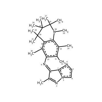 CC1=Nn2ccnc2/C1=N\c1c(C)c(C)c2c(c1C)C(C)(C)C(C)(C)C(C)(C)N2C